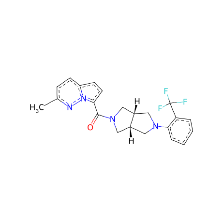 Cc1ccc2ccc(C(=O)N3C[C@@H]4CN(c5ccccc5C(F)(F)F)C[C@@H]4C3)n2n1